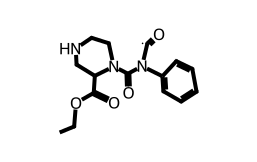 CCOC(=O)C1CNCCN1C(=O)N([C]=O)c1ccccc1